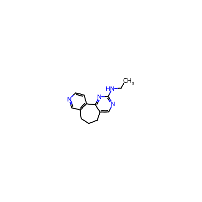 CCNc1ncc2c(n1)-c1ccncc1CCC2